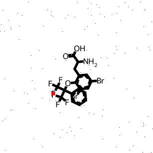 NC(Cc1cc(Br)cc(Br)c1OC(c1ccccc1)(C(F)(F)F)C(F)(F)F)C(=O)O